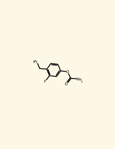 CC(C)Cc1ccc(OC(N)=O)cc1F